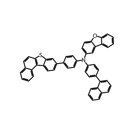 c1ccc2c(-c3ccc(N(c4ccc(-c5ccc6c(c5)sc5ccc7ccccc7c56)cc4)c4ccc5oc6ccccc6c5c4)cc3)cccc2c1